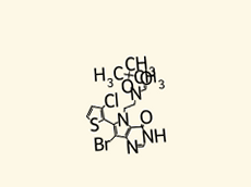 CC(C)(C)ON(C=O)CCn1c(-c2sccc2Cl)c(Br)c2nc[nH]c(=O)c21